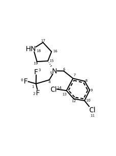 FC(F)(F)CN(Cc1ccc(Cl)cc1Cl)[C@H]1CCNC1